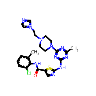 Cc1nc(Nc2ncc(C(=O)Nc3c(C)cccc3Cl)s2)nc(N2CCN(CCn3ccnc3)CC2)n1